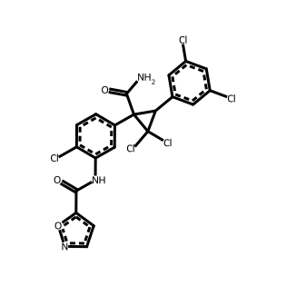 NC(=O)C1(c2ccc(Cl)c(NC(=O)c3ccno3)c2)C(c2cc(Cl)cc(Cl)c2)C1(Cl)Cl